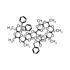 C[C@H](O[Si](c1ccccc1)(c1ccccc1)C(C)(C)C)C(=O)O[C@H](C)C(=O)O[C@H](C)C(=O)O[C@H](C)C(=O)O[C@H](C)C(=O)O[C@H](C)C(=O)O[C@H](C)C(=O)O[C@H](C)C(=O)O[C@H](C)C(=O)O[C@H](C)C(=O)OCc1ccccc1